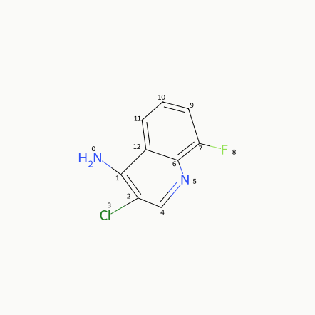 Nc1c(Cl)cnc2c(F)cccc12